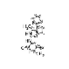 Cc1cc(Cl)c(NC(=O)N[C@@H](C)c2ncnn2-c2ncccn2)cc1Br